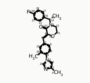 Cc1cn(-c2ccc(/C=C3\OCCN([C@@H](C)c4ccc(F)cc4)C3=O)cc2C)cn1